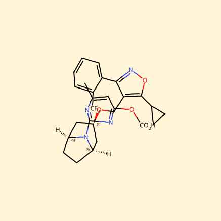 Cc1cc(OC(=O)O)nc(N2[C@@H]3CC[C@H]2C[C@@H](OCc2c(-c4ccccc4C(F)(F)F)noc2C2CC2)C3)n1